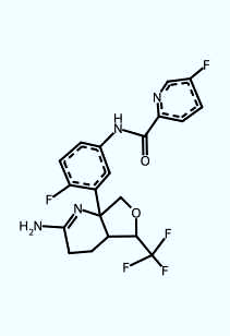 NC1=NC2(c3cc(NC(=O)c4ccc(F)cn4)ccc3F)COC(C(F)(F)F)C2CC1